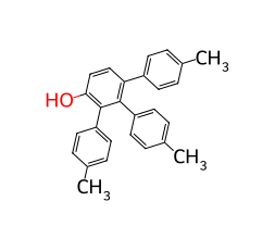 Cc1ccc(-c2ccc(O)c(-c3ccc(C)cc3)c2-c2ccc(C)cc2)cc1